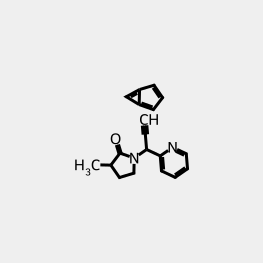 C#CC(c1ccccn1)N1CCC(C)C1=O.c1cc2cc-2c1